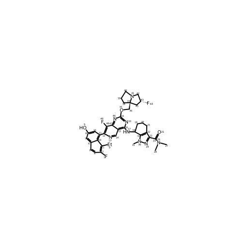 CCc1c(F)ccc2cc(O)cc(-c3ncc4c(NC5CCCc6c(C(=O)N(C)C)nn(C)c65)nc(OC[C@@]56CCCN5C[C@H](F)C6)nc4c3F)c12